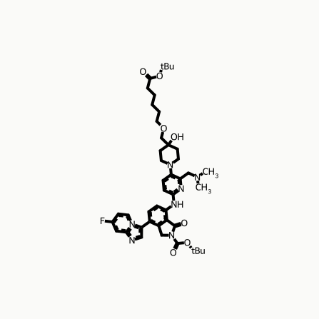 CN(C)Cc1nc(Nc2ccc(-c3cnc4cc(F)ccn34)c3c2C(=O)N(C(=O)OC(C)(C)C)C3)ccc1N1CCC(O)(COCCCCCC(=O)OC(C)(C)C)CC1